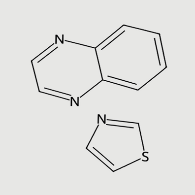 c1ccc2nccnc2c1.c1cscn1